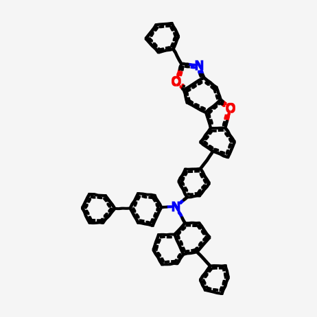 c1ccc(-c2ccc(N(c3ccc(-c4ccc5oc6cc7nc(-c8ccccc8)oc7cc6c5c4)cc3)c3ccc(-c4ccccc4)c4ccccc34)cc2)cc1